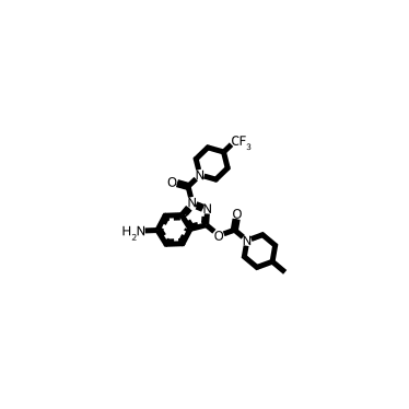 CC1CCN(C(=O)Oc2nn(C(=O)N3CCC(C(F)(F)F)CC3)c3cc(N)ccc23)CC1